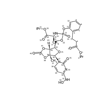 CC(C)OC(=O)CCc1ccccc1OP(=O)(N[C@@H](C)C(=O)OC(C)C)OC[C@H]1O[C@@H](n2ccc(NO)nc2=O)[C@]2(C)OC(=O)O[C@H]12